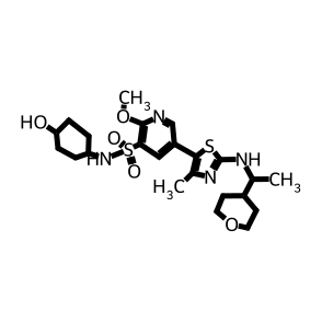 COc1ncc(-c2sc(NC(C)C3CCOCC3)nc2C)cc1S(=O)(=O)NC1CCC(O)CC1